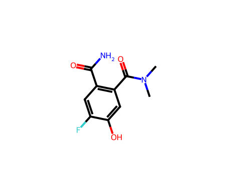 CN(C)C(=O)c1cc(O)c(F)cc1C(N)=O